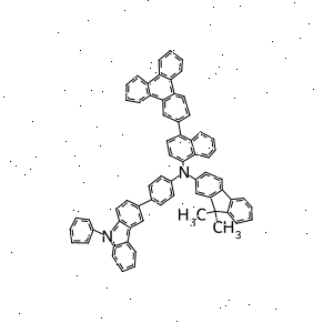 CC1(C)c2ccccc2-c2ccc(N(c3ccc(-c4ccc5c(c4)c4ccccc4n5-c4ccccc4)cc3)c3ccc(-c4ccc5c6ccccc6c6ccccc6c5c4)c4ccccc34)cc21